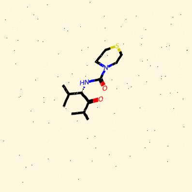 CC(C)C(=O)[C@@H](NC(=O)N1CCSCC1)C(C)C